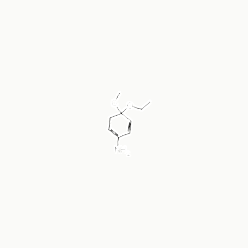 CCOC1(OC)C=CC(N)=CC1